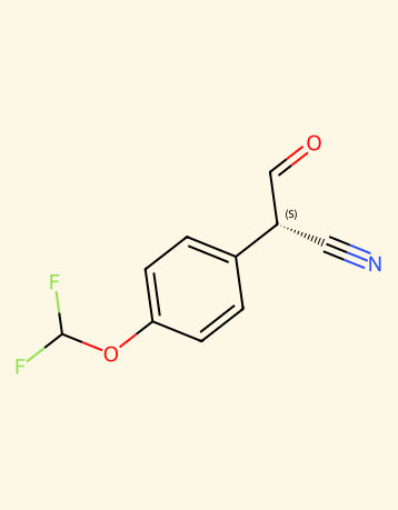 N#C[C@@H](C=O)c1ccc(OC(F)F)cc1